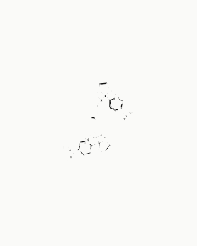 CC(C)(COC(=O)OCC(C)(C)C1(c2ccc([N+](=O)[O-])cn2)SC=CS1)C1(c2ccc([N+](=O)[O-])cn2)SC=CS1